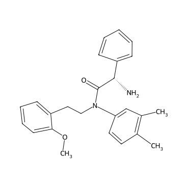 COc1ccccc1CCN(C(=O)[C@@H](N)c1ccccc1)c1ccc(C)c(C)c1